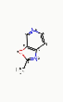 Cc1nc2ccncc2o1